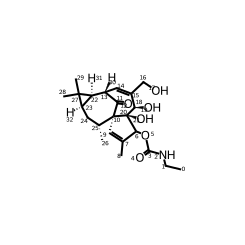 CCNC(=O)OC1C(C)=C[C@]23C(=O)[C@@H](C=C(CO)[C@@H](O)[C@]12O)[C@H]1[C@@H](C[C@H]3C)C1(C)C